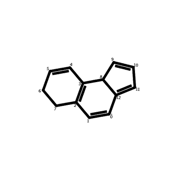 [C]1=CC2=C(C=CCC2)C2C=CC=C12